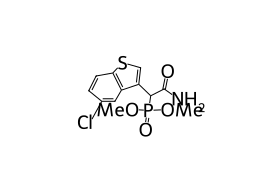 COP(=O)(OC)C(C(N)=O)c1csc2ccc(Cl)cc12